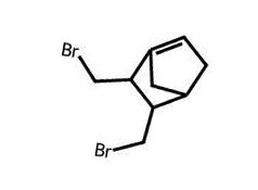 BrCC1C2=CCC(C2)C1CBr